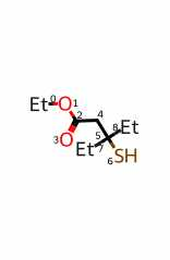 CCOC(=O)CC(S)(CC)CC